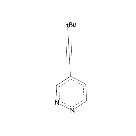 CC(C)(C)C#Cc1ccnnc1